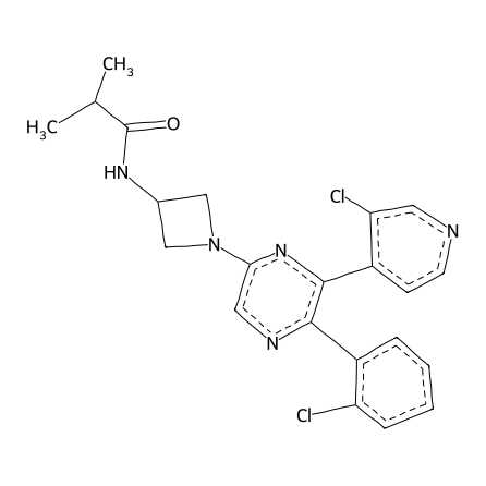 CC(C)C(=O)NC1CN(c2cnc(-c3ccccc3Cl)c(-c3ccncc3Cl)n2)C1